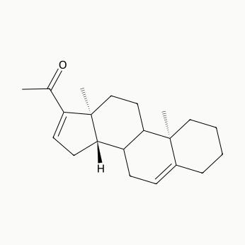 CC(=O)C1=CC[C@H]2C3CC=C4CCCC[C@]4(C)C3CC[C@]12C